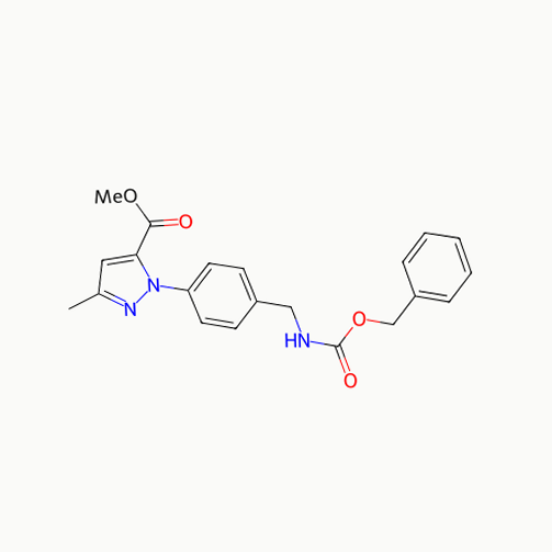 COC(=O)c1cc(C)nn1-c1ccc(CNC(=O)OCc2ccccc2)cc1